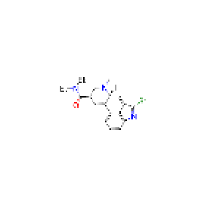 CCN(CC)C(=O)[C@@H]1C=C2c3cccc4c3C(=C[C@H]2N(C)C1)C(Br)=N4